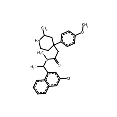 COc1ccc(C2(CC(=O)N(C)C(C)c3cc(Cl)cc4ccccc34)CCNC(C)C2)cc1